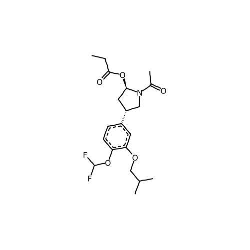 CCC(=O)O[C@@H]1C[C@@H](c2ccc(OC(F)F)c(OCC(C)C)c2)CN1C(C)=O